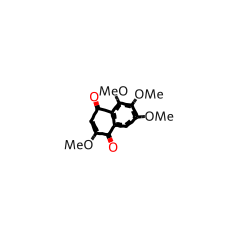 COC1=CC(=O)c2c(cc(OC)c(OC)c2OC)C1=O